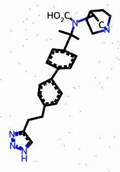 CC(C)(c1ccc(-c2ccc(CCc3c[nH]nn3)cc2)cc1)N(C(=O)O)C1CN2CCC1CC2